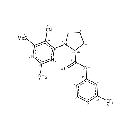 CSc1nc(N)nc(N2CCC[C@H]2C(=O)Nc2cccc(C(F)(F)F)c2)c1C#N